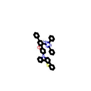 c1ccc(C2=NC(c3ccccc3)NC(c3cc(-c4ccccc4)cc4oc5cc(-n6c7ccccc7c7c8sc9ccccc9c8ccc76)ccc5c34)=N2)cc1